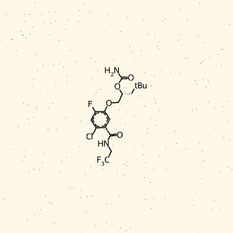 CC(C)(C)C[C@H](COc1cc(C(=O)NCC(F)(F)F)c(Cl)cc1F)OC(N)=O